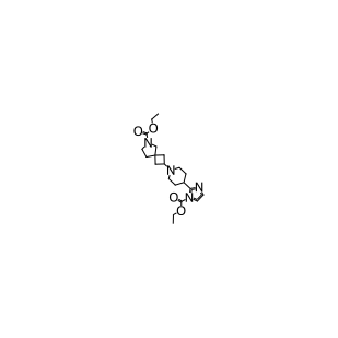 CCOC(=O)N1CCC2(CC(N3CCC(c4nccn4C(=O)OCC)CC3)C2)C1